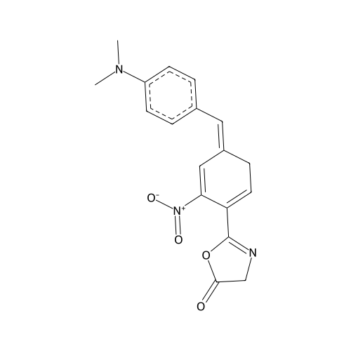 CN(C)c1ccc(C=C2C=C([N+](=O)[O-])C(C3=NCC(=O)O3)=CC2)cc1